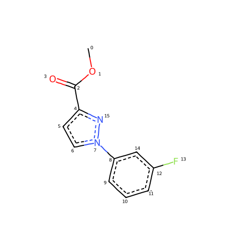 COC(=O)c1ccn(-c2cc[c]c(F)c2)n1